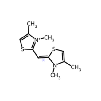 CC1=CS/C(=C\c2scc(C)[n+]2C)N1C